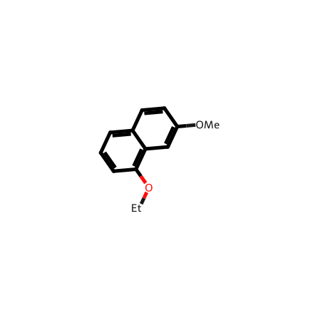 CCOc1cccc2ccc(OC)cc12